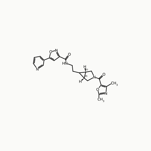 Cc1nc(C)c(C(=O)N2C[C@@H]3C(CCNC(=O)c4cc(-c5cccnc5)on4)[C@@H]3C2)o1